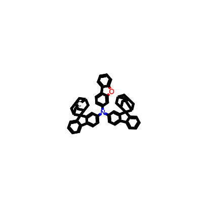 c1ccc2c(c1)-c1ccc(N(c3ccc4c(c3)C3(c5ccccc5-4)C4CC5CC(C4)CC3C5)c3ccc4c(c3)oc3ccccc34)cc1C21C2CCC3CC(C2)CC1C3